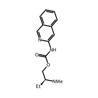 CC[C@@H](COC(=O)Nc1cc2ccccc2cn1)NC